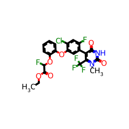 CCOC(=O)C(F)Oc1ccccc1Oc1cc(-c2c(C(F)(F)F)n(C)c(=O)[nH]c2=O)c(F)cc1Cl